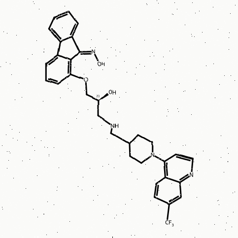 ON=C1c2ccccc2-c2cccc(OC[C@@H](O)CNCC3CCN(c4ccnc5cc(C(F)(F)F)ccc45)CC3)c21